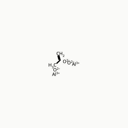 C=CC.[Al+3].[Al+3].[O-2].[O-2].[O-2]